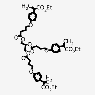 C=C(C(=O)OCC)c1ccc(OCCCC(=O)OCC(COC(=O)CCCOc2ccc(C(=C)C(=O)OCC)cc2)OC(=O)CCCOc2ccc(C(=C)C(=O)OCC)cc2)cc1